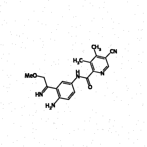 COCC(=N)c1cc(NC(=O)c2ncc(C#N)c(C)c2C)ccc1N